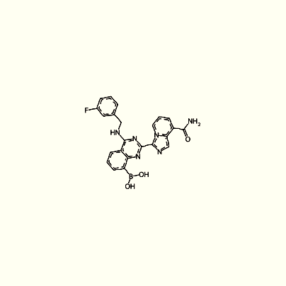 NC(=O)c1cccn2c(-c3nc(NCc4cccc(F)c4)c4cccc(B(O)O)c4n3)ncc12